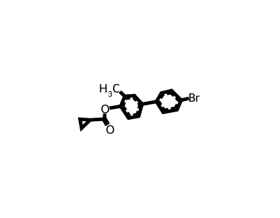 Cc1cc(-c2ccc(Br)cc2)ccc1OC(=O)C1CC1